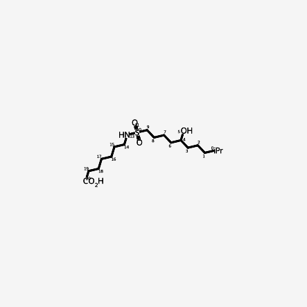 CC(C)CCCC(O)CCCCS(=O)(=O)NCCCCCCC(=O)O